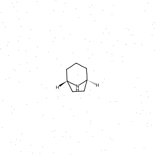 C1C[C@H]2CC[C@H](C1)N2